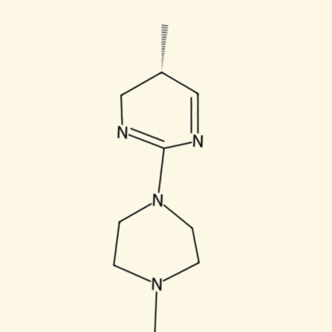 C[C@@H]1C=NC(N2CCN(C)CC2)=NC1